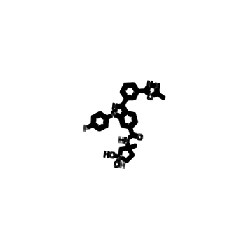 Cc1nnc(-c2cccc(-c3nn(-c4ccc(F)cc4)c4cc(C(=O)NC5(C)CCS(O)(O)C5)ccc34)c2)o1